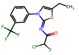 CCc1cn(-c2cccc(C(F)(F)F)c2)c(=NC(=O)C(F)Cl)s1